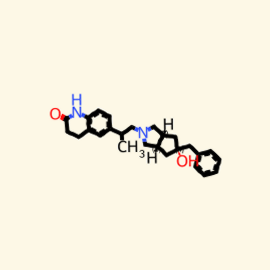 CC(CN1C[C@@H]2C[C@@](O)(Cc3ccccc3)C[C@@H]2C1)c1ccc2c(c1)CCC(=O)N2